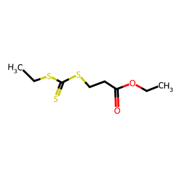 CCOC(=O)CCSC(=S)SCC